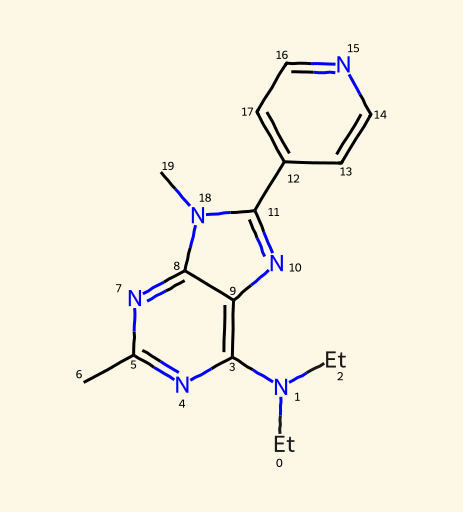 CCN(CC)c1nc(C)nc2c1nc(-c1ccncc1)n2C